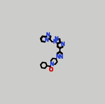 O=C(C1CCCCC1)N1CCC(n2cc(-c3cnc4cnn(Cc5cnc6ccccn56)c4c3)cn2)CC1